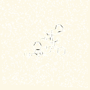 Nc1noc2cc(CNC(=O)C3(NC(=O)[C@H](NCC(=O)O)C4CCCCC4)Cc4ccccc4C3)ccc12